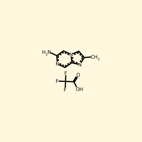 Cc1cn2cc(N)ncc2n1.O=C(O)C(F)(F)F